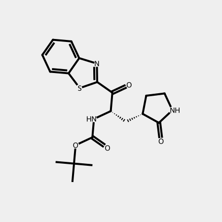 CC(C)(C)OC(=O)N[C@@H](C[C@@H]1CCNC1=O)C(=O)c1nc2ccccc2s1